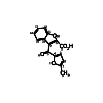 Cc1ccc(C(=O)c2c(C(=O)O)oc3ccccc23)o1